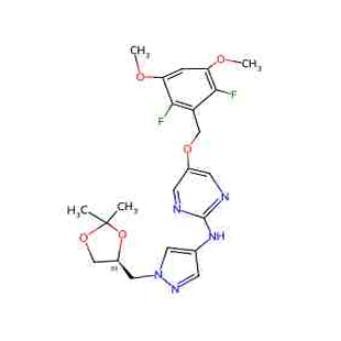 COc1cc(OC)c(F)c(COc2cnc(Nc3cnn(C[C@H]4COC(C)(C)O4)c3)nc2)c1F